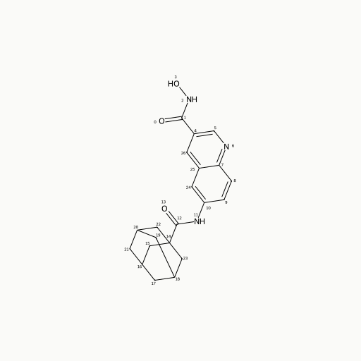 O=C(NO)c1cnc2ccc(NC(=O)C34CC5CC(CC(C5)C3)C4)cc2c1